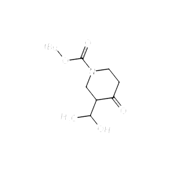 CC(O)C1CN(C(=O)OC(C)(C)C)CCC1=O